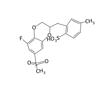 Cc1ccc(S(=O)(=O)O)c(CC2COc3c(F)cc(S(C)(=O)=O)cc3O2)c1